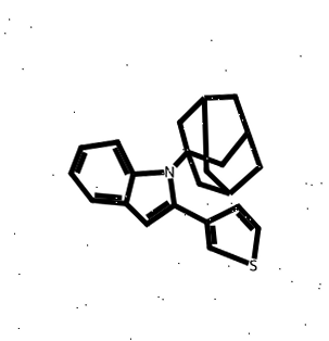 c1ccc2c(c1)cc(-c1ccsc1)n2C12CC3CC(CC(C3)C1)C2